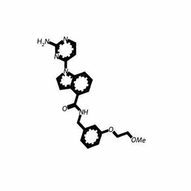 COCCOc1cccc(CNC(=O)c2cccc3c2ccn3-c2ccnc(N)n2)c1